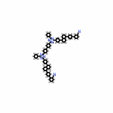 N#Cc1cccc(-c2ccc(-c3cccc4c(-c5ccc(-c6nc(-c7ccccc7)nc(-c7ccc(-c8ccc(-c9nc(-c%10ccccc%10)nc(-c%10ccc(-c%11cccc%12c(-c%13ccc(-c%14ccccc%14C#N)cc%13)cccc%11%12)cc%10)n9)cc8)cc7)n6)cc5)cccc34)cc2)c1